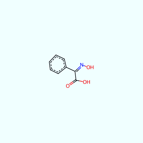 O=C(O)/C(=N\O)c1ccccc1